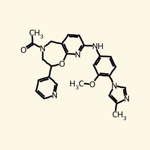 COc1cc(Nc2ccc3c(n2)OC(c2cccnc2)CN(C(C)=O)C3)ccc1-n1cnc(C)c1